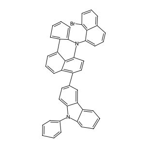 Brc1cccc2cccc(N3c4ccccc4-c4cccc5c(-c6ccc7c(c6)c6ccccc6n7-c6ccccc6)ccc3c45)c12